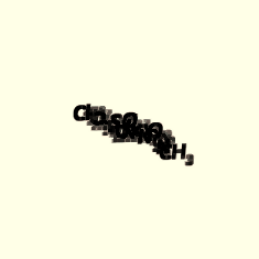 CN1CCC(Oc2ccc(-n3ccc4cc(-c5ccc(Cl)cc5)sc4c3=O)cn2)CC1